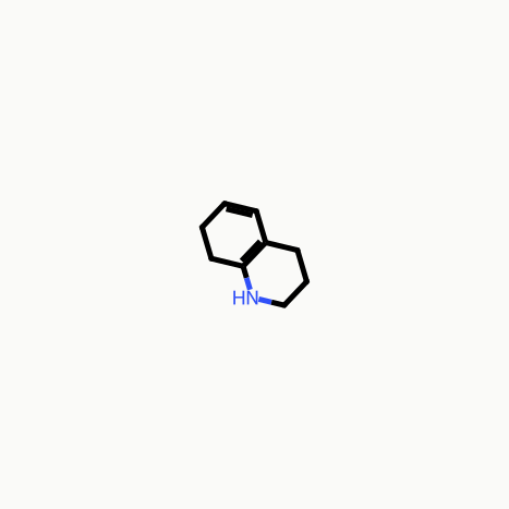 C1=CC2=C(CC1)NCCC2